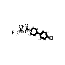 O=C(OC(C(F)(F)F)C(F)(F)F)N1CCC(c2ccc(Cl)cc2)CC1